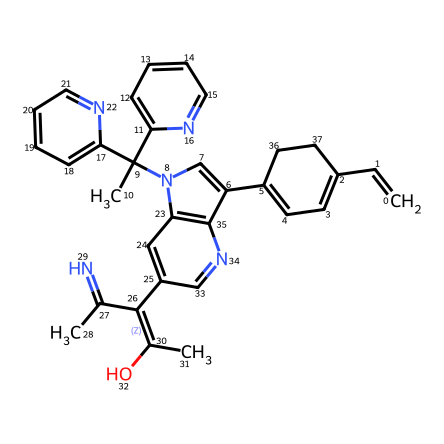 C=CC1=CC=C(c2cn(C(C)(c3ccccn3)c3ccccn3)c3cc(/C(C(C)=N)=C(\C)O)cnc23)CC1